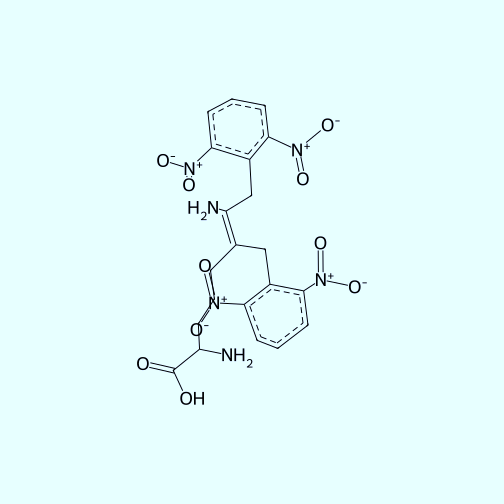 NC(Cc1c([N+](=O)[O-])cccc1[N+](=O)[O-])=C(CCCC(N)C(=O)O)Cc1c([N+](=O)[O-])cccc1[N+](=O)[O-]